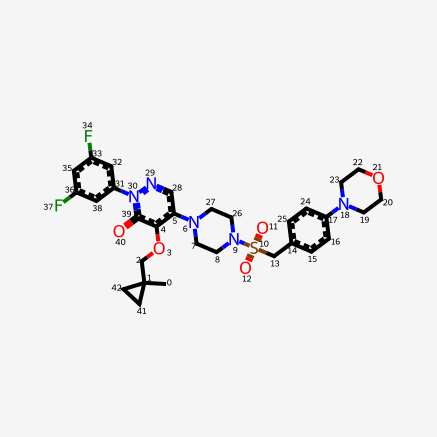 CC1(COc2c(N3CCN(S(=O)(=O)Cc4ccc(N5CCOCC5)cc4)CC3)cnn(-c3cc(F)cc(F)c3)c2=O)CC1